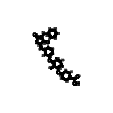 Cc1c(Oc2cccc(C=C3SC(=O)N(Cc4ccccc4)C3=O)c2)ncnc1OC1CCN(C(=O)O)CC1